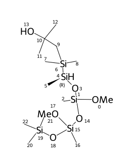 CO[Si](C)(O[Si@@H](C)[Si](C)(C)CC(C)(C)O)O[Si](C)(OC)O[Si](C)(C)C